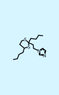 CCCCC1CCSC(CCCC)(CCn2ccnc2)S1